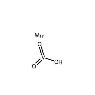 [Mn].[O]=[V](=[O])[OH]